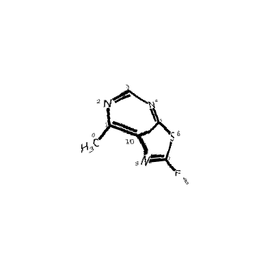 Cc1ncnc2sc(F)nc12